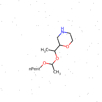 CCCCCOC(C)OC(C)C1CNCCO1